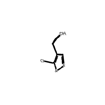 OCC1=C(Cl)[N]N=C1